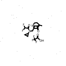 CC12CCN(CC1)C(CN(C(=O)C(F)F)C1CC1)C2=O.O=C(O)C(F)(F)F